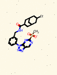 CCC1CC2CC(C1)CC(C(=O)NCc1cccc(-n3nnc4cnc(S(C)(=O)=O)nc43)c1)C2